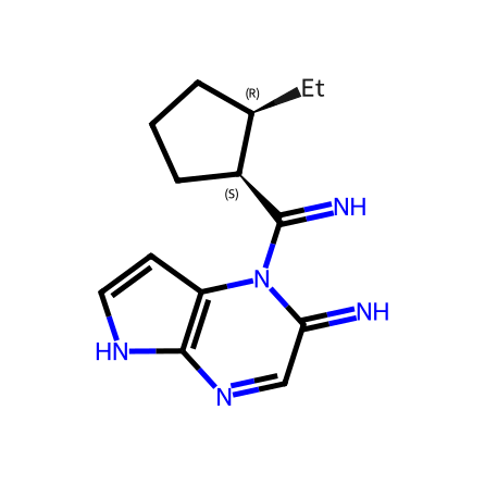 CC[C@@H]1CCC[C@@H]1C(=N)n1c(=N)cnc2[nH]ccc21